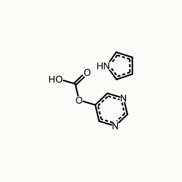 O=C(O)Oc1cncnc1.c1cc[nH]c1